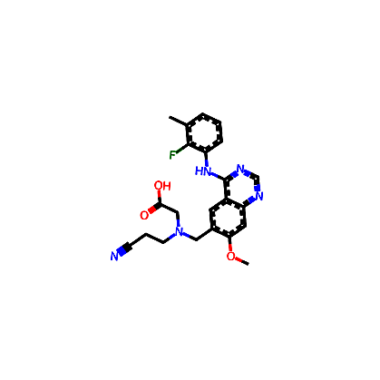 COc1cc2ncnc(Nc3cccc(C)c3F)c2cc1CN(CCC#N)CC(=O)O